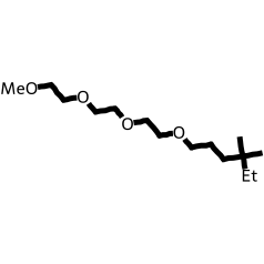 CCC(C)(C)CCCOCCOCCOCCOC